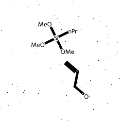 C=CC[O].CCC[Si](OC)(OC)OC